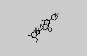 CCc1cc(C)cn2nc(-c3cc(=O)n4cc(C5CCN(C)CC5)cc(C)c4n3)cc12